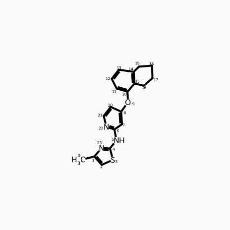 Cc1csc(Nc2cc(Oc3cccc4c3CCCC4)ccn2)n1